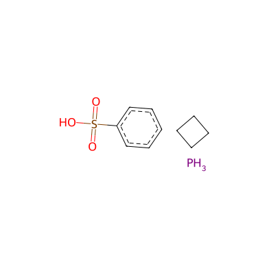 C1CCC1.O=S(=O)(O)c1ccccc1.P